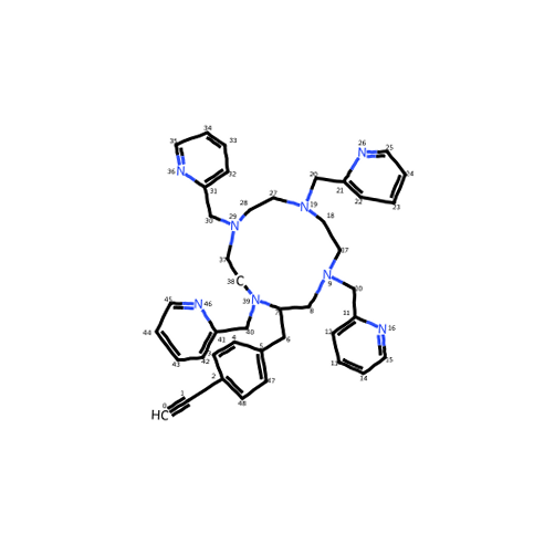 C#Cc1ccc(CC2CN(Cc3ccccn3)CCN(Cc3ccccn3)CCN(Cc3ccccn3)CCN2Cc2ccccn2)cc1